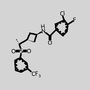 C[C@H]([C@H]1C[C@H](NC(=O)c2ccc(F)c(Cl)c2)C1)S(=O)(=O)c1cccc(C(F)(F)F)c1